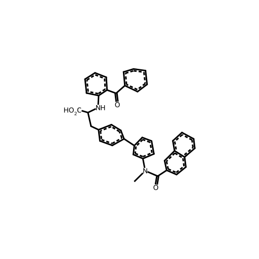 CN(C(=O)c1ccc2ccccc2c1)c1cccc(-c2ccc(CC(Nc3ccccc3C(=O)c3ccccc3)C(=O)O)cc2)c1